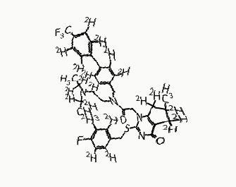 [2H]c1c([2H])c(CSc2nc(=O)c3c(n2CC(=O)N(CCN(C([2H])([2H])C)C([2H])([2H])C)Cc2c([2H])c([2H])c(-c4c([2H])c([2H])c(C(F)(F)F)c([2H])c4[2H])c([2H])c2[2H])C([2H])([2H])C([2H])(C)C3([2H])[2H])c([2H])c([2H])c1F